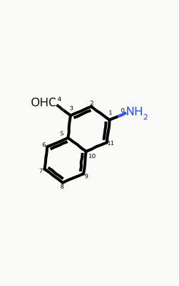 Nc1cc(C=O)c2ccccc2c1